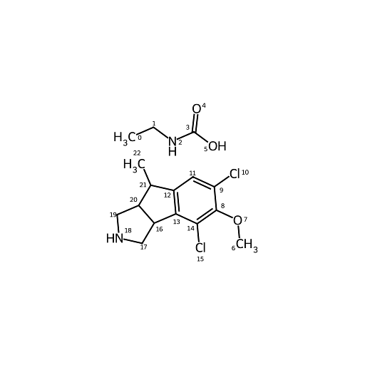 CCNC(=O)O.COc1c(Cl)cc2c(c1Cl)C1CNCC1C2C